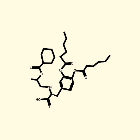 CCCCCC(=O)Oc1ccc(C[C@H](NCC(C)OC(=O)C2CCCCC2)C(=O)O)cc1OC(=O)CCCCC